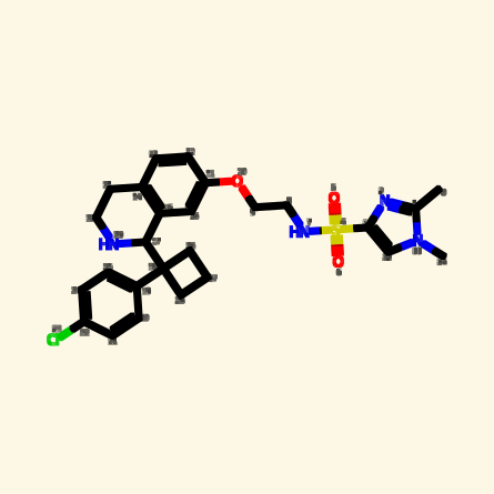 Cc1nc(S(=O)(=O)NCCOc2ccc3c(c2)C(C2(c4ccc(Cl)cc4)CCC2)NCC3)cn1C